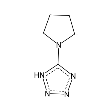 [CH]1CCCN1c1nnn[nH]1